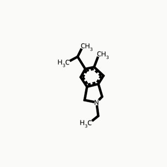 CCN1Cc2cc(C)c(C(C)C)cc2C1